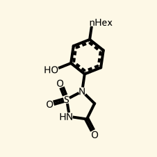 CCCCCCc1ccc(N2CC(=O)NS2(=O)=O)c(O)c1